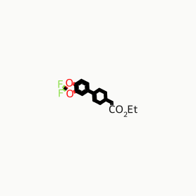 CCOC(=O)CC1CC=C(c2ccc3c(c2)OC(F)(F)O3)CC1